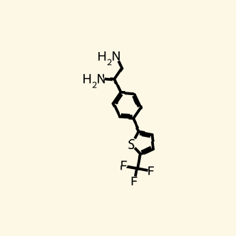 NCC(N)c1ccc(-c2ccc(C(F)(F)F)s2)cc1